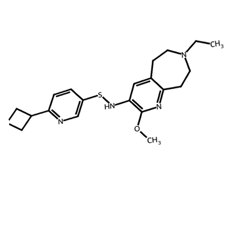 CCN1CCc2cc(NSc3ccc(C4CCC4)nc3)c(OC)nc2CC1